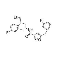 CC/C=C(/CCNC(=O)c1cc(Cc2cccc(F)c2)on1)c1ccc(F)cc1C